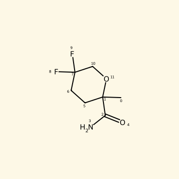 CC1(C(N)=O)CCC(F)(F)CO1